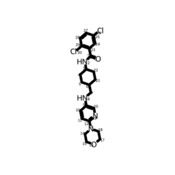 O=C(NC1CCC(CNc2ccc(N3CCOCC3)nc2)CC1)c1cc(Cl)ccc1Cl